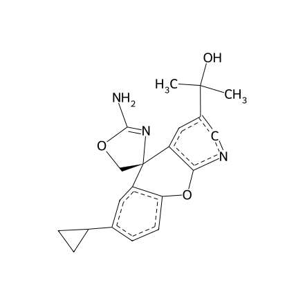 CC(C)(O)c1cnc2c(c1)[C@]1(COC(N)=N1)c1cc(C3CC3)ccc1O2